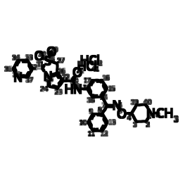 CN1CCC(ON=C(c2ccccc2)c2cccc(NC(=O)c3ccn4c3CS(=O)(=O)[C@H]4c3cccnc3)c2)CC1.Cl.Cl